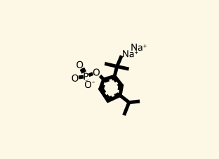 CC(C)c1ccc(OP(=O)([O-])[O-])c(C(C)(C)C)c1.[Na+].[Na+]